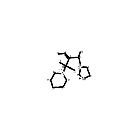 C/C=C(/C(C)N1CCNC1)C(C)(C)N1CCCCC1